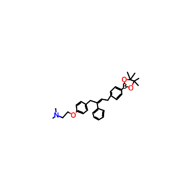 CN(C)CCOc1ccc(CC(=CCc2ccc(B3OC(C)(C)C(C)(C)O3)cc2)c2ccccc2)cc1